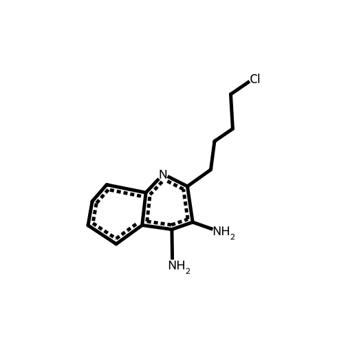 Nc1c(CCCCCl)nc2ccccc2c1N